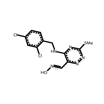 CSc1nnc(/C=N/O)c(NCc2ccc(Cl)cc2Cl)n1